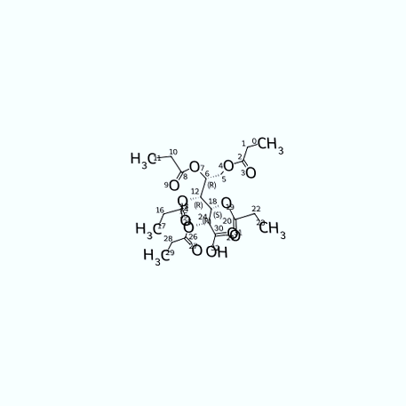 CCC(=O)OC[C@@H](OC(=O)CC)[C@@H](OC(=O)CC)[C@H](OC(=O)CC)[C@@H](OC(=O)CC)C(=O)O